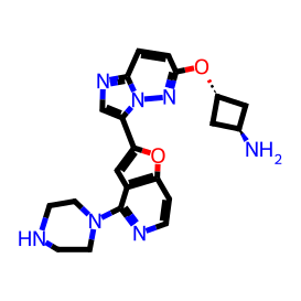 N[C@H]1C[C@H](Oc2ccc3ncc(-c4cc5c(N6CCNCC6)nccc5o4)n3n2)C1